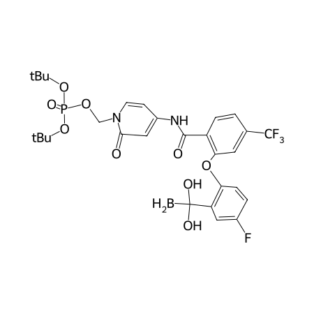 BC(O)(O)c1cc(F)ccc1Oc1cc(C(F)(F)F)ccc1C(=O)Nc1ccn(COP(=O)(OC(C)(C)C)OC(C)(C)C)c(=O)c1